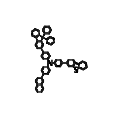 c1ccc(C2(c3ccccc3)c3ccccc3-c3ccc(-c4ccc(N(c5ccc(-c6ccc7ccccc7c6)cc5)c5ccc(-c6ccc7c(c6)sc6ccccc67)cc5)cc4)cc32)cc1